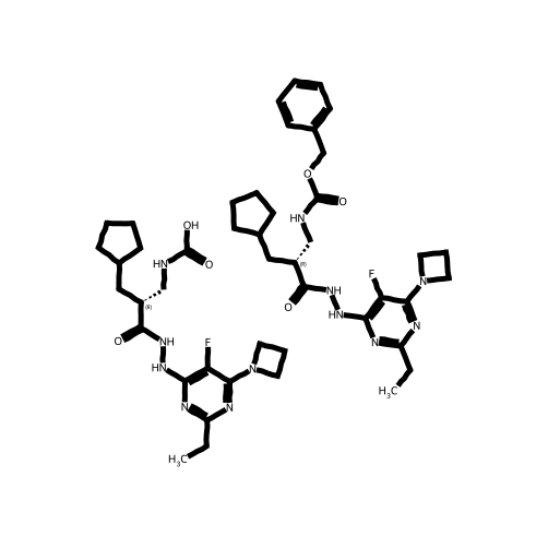 CCc1nc(NNC(=O)[C@@H](CNC(=O)O)CC2CCCC2)c(F)c(N2CCC2)n1.CCc1nc(NNC(=O)[C@@H](CNC(=O)OCc2ccccc2)CC2CCCC2)c(F)c(N2CCC2)n1